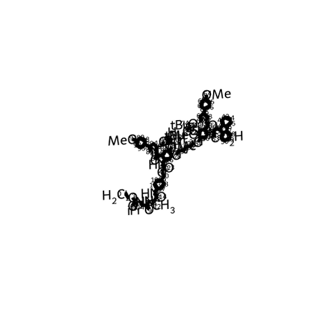 C=CCOC(=O)N[C@H](C(=O)N[C@@H](C)C(=O)Nc1ccc(COC(=O)Nc2cc(OCCCCCOc3cc(N(CC4c5ccccc5-c5ccccc54)C(=O)O)c(C(=O)N4C=C(c5ccc(OC)cc5)C[C@H]4CO[Si](C)(C)C(C)(C)C)cc3OC)c(OC)cc2C(=O)N2C=C(c3ccc(OC)cc3)C[C@H]2CO[Si](C)(C)C(C)(C)C)cc1)C(C)C